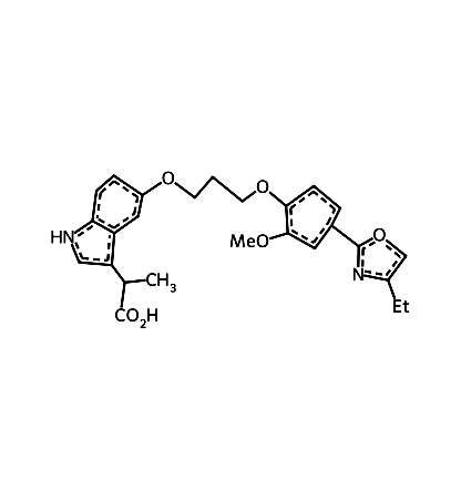 CCc1coc(-c2ccc(OCCCOc3ccc4[nH]cc(C(C)C(=O)O)c4c3)c(OC)c2)n1